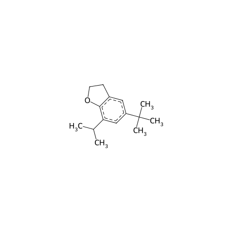 CC(C)c1cc(C(C)(C)C)cc2c1OCC2